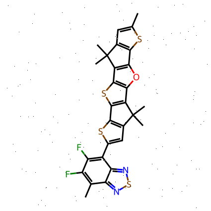 Cc1cc2c(s1)-c1oc3c4c(sc3c1C2(C)C)-c1sc(-c2c(F)c(F)c(C)c3nsnc23)cc1C4(C)C